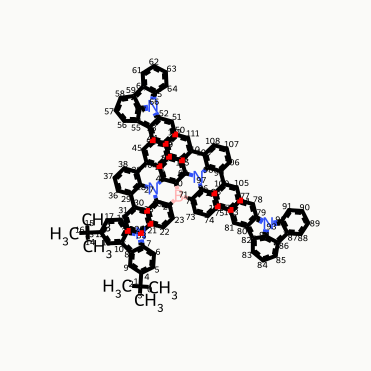 CC(C)(C)c1ccc2c(c1)c1cc(C(C)(C)C)ccc1n2-c1ccc2c(c1)N(c1c(-c3ccccc3)cccc1-c1ccccc1)c1cc(-c3ccc4c(c3)c3cccc5c6ccccc6n4c53)cc3c1B2c1ccc(-c2ccc4c(c2)c2cccc5c6ccccc6n4c52)cc1N3c1c(-c2ccccc2)cccc1-c1ccccc1